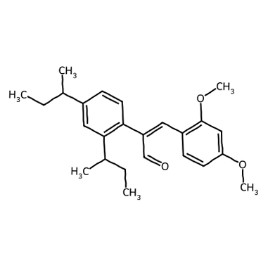 CCC(C)c1ccc(/C(C=O)=C/c2ccc(OC)cc2OC)c(C(C)CC)c1